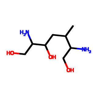 CC(CC(O)C(N)CO)C(N)CO